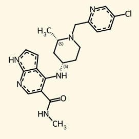 CNC(=O)c1cnc2[nH]ccc2c1N[C@H]1CCN(Cc2ccc(Cl)cn2)[C@@H](C)C1